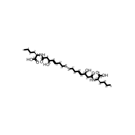 CCCC[C@@H](NC(=O)CC(O)/C=C/CCSSCC/C=C/C(O)CC(=O)N[C@H](CCCC)C(=O)O)C(=O)O